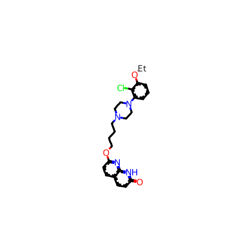 CCOc1cccc(N2CCN(CCCCOc3ccc4ccc(=O)[nH]c4n3)CC2)c1Cl